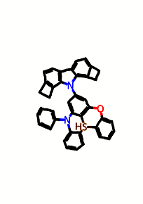 c1ccc(N2c3ccccc3[SH]3c4ccccc4Oc4cc(-n5c6c7c(ccc6c6ccc8c(c65)CC8)CC7)cc2c43)cc1